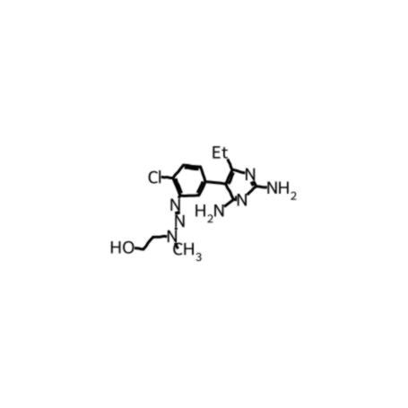 CCc1nc(N)nc(N)c1-c1ccc(Cl)c(N=NN(C)CCO)c1